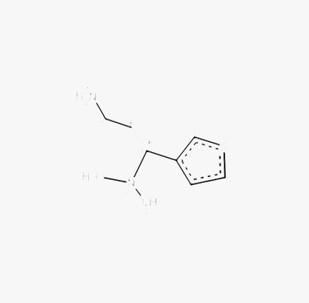 CN(C)[C@H](CCN)c1ccsc1